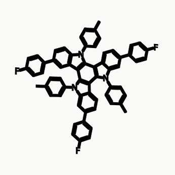 Cc1ccc(-n2c3ccc(-c4ccc(F)cc4)cc3c3c2c2c4ccc(-c5ccc(F)cc5)cc4n(-c4ccc(C)cc4)c2c2c4ccc(-c5ccc(F)cc5)cc4n(-c4ccc(C)cc4)c32)cc1